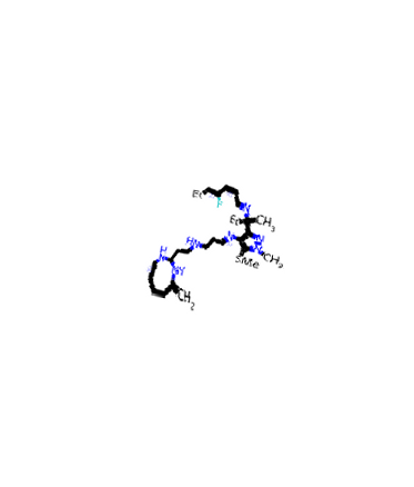 C=C1CC/C=C\NC(CCNCC/C=N/c2c(C(C)(CC)N=C/C=C\C(F)=C\CC)nn(C)c2SC)N1